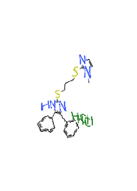 Cl.Cl.Cn1ccnc1SCCCSc1nc(-c2ccccc2)c(-c2ccccc2)[nH]1